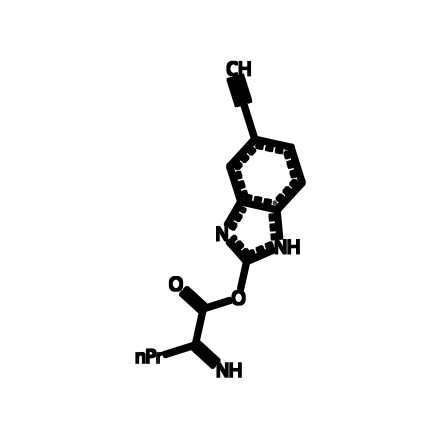 C#Cc1ccc2[nH]c(OC(=O)C(=N)CCC)nc2c1